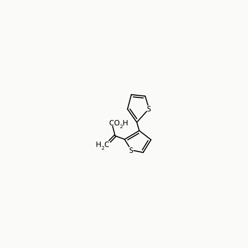 C=C(C(=O)O)c1sccc1-c1cccs1